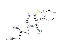 C#C/C=C(/Cn1cnc2sc3c(c2c1=N)CCCC3)OC